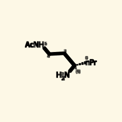 CCC[C@H](N)CCNC(C)=O